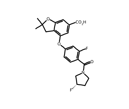 CC1(C)Cc2c(Oc3ccc(C(=O)N4CC[C@H](F)C4)c(F)c3)cc(C(=O)O)cc2O1